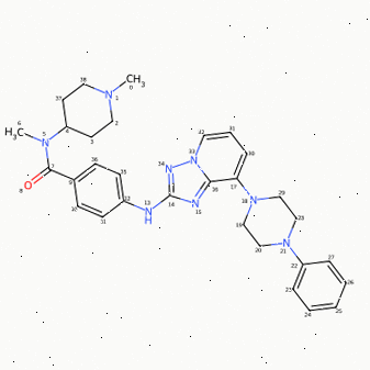 CN1CCC(N(C)C(=O)c2ccc(Nc3nc4c(N5CCN(c6ccccc6)CC5)cccn4n3)cc2)CC1